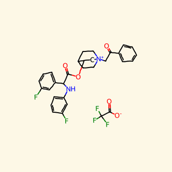 O=C(C[N+]12CCC(CC1)C(OC(=O)C(Nc1cccc(F)c1)c1cccc(F)c1)C2)c1ccccc1.O=C([O-])C(F)(F)F